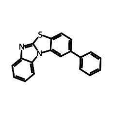 c1ccc(-c2ccc3sc4nc5ccccc5n4c3c2)cc1